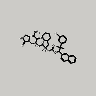 CC(C)(c1cccc(Cl)c1)C(OC(=O)N[C@](C)(CC1CCCCC1)C(=O)N[C@@H](C[C@@H]1CCNC1=O)C(=O)C(N)=O)c1ccc2ccccc2c1